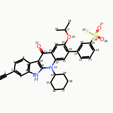 C#Cc1ccc2c(c1)[nH]c1c2c(=O)c2cc(OC(C)C)c(-c3cccc(S(=O)(=O)F)c3)cc2n1C1CCCCC1